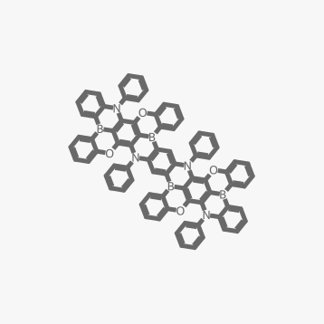 c1ccc(N2c3ccccc3B3c4ccccc4Oc4c3c2c2c3c4N(c4ccccc4)c4cc5c(cc4B3c3ccccc3O2)N(c2ccccc2)c2c3c4c(c6c2B5c2ccccc2O6)N(c2ccccc2)c2ccccc2B4c2ccccc2O3)cc1